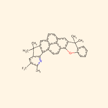 Cc1nc2c(cc1C(F)(F)F)C(C)(C)c1cc3ccc4cc5c(c6ccc(c1-2)c3c46)Oc1ccccc1C5(C)C